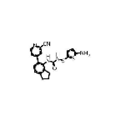 N#Cc1cc(-c2ccc3c(c2NC(=O)NSc2ccc(N)s2)CCC3)ccn1